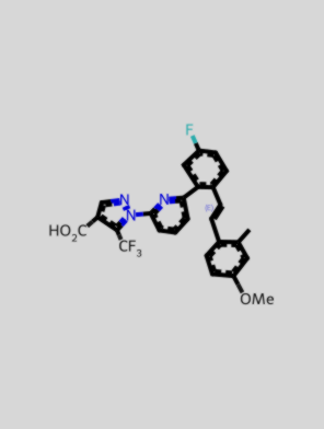 COc1ccc(/C=C/c2ccc(F)cc2-c2cccc(-n3ncc(C(=O)O)c3C(F)(F)F)n2)c(C)c1